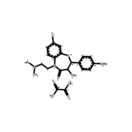 CCCN(C)CCN1C(=O)C(OC(C)=O)C(c2ccc(OC)cc2)Sc2cc(Cl)ccc21.O=C(O)C(=O)O